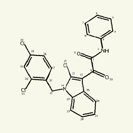 O=C(Nc1ccccc1)C(=O)c1c(Cl)n(Cc2ccc(Cl)cc2Cl)c2ccccc12